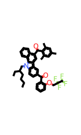 CCCCC(CC)Cn1c2ccc(C(=O)c3ccccc3OCC(F)(F)C(F)F)cc2c2cc(C(=O)c3c(C)cc(C)cc3C)c3ccccc3c21